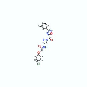 Cc1cccc(-c2noc(C(=O)NCCNC(=O)COc3ccc(Cl)cc3)n2)c1